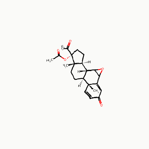 CC(=O)O[C@]1(C(C)=O)CC[C@H]2[C@@H]3C4OC4C4=CC(=O)C=C[C@]4(C)[C@H]3CC[C@@]21C